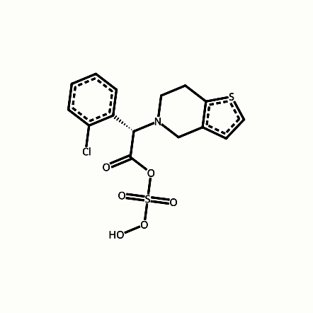 O=C(OS(=O)(=O)OO)[C@H](c1ccccc1Cl)N1CCc2sccc2C1